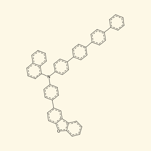 c1ccc(-c2ccc(-c3ccc(-c4ccc(N(c5ccc(-c6ccc7oc8ccccc8c7c6)cc5)c5cccc6ccccc56)cc4)cc3)cc2)cc1